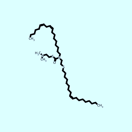 CCCCC/C=C\C/C=C\CCCCCCCCN(CCSCCCCCCCC/C=C\CCCCCCCC)C(=O)SCCN(C)C